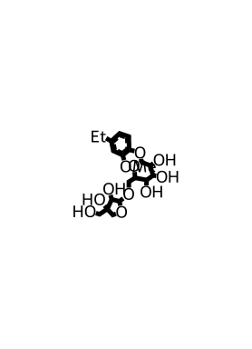 CCc1ccc(OC2OC(COC3OCC(O)(CO)C3O)C(O)C(O)C2O)c(OC)c1